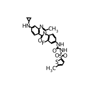 Cc1ccc(S(=O)(=O)NC(=O)Nc2ccc(-n3c(C)nc4cc(NC5CC5)ccc4c3=O)c(F)c2)s1